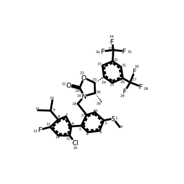 CSc1ccc(-c2cc(C(C)C)c(F)cc2Cl)c(CN2C(=O)O[C@H](c3cc(C(F)(F)F)cc(C(F)(F)F)c3)[C@@H]2C)c1